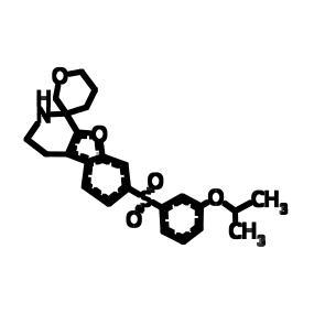 CC(C)Oc1cccc(S(=O)(=O)c2ccc3c4c(oc3c2)C2(CCCOC2)NCC4)c1